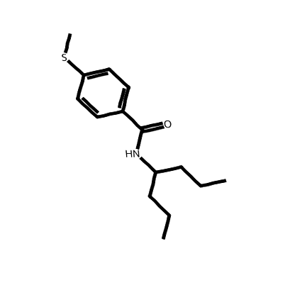 CCCC(CCC)NC(=O)c1ccc(SC)cc1